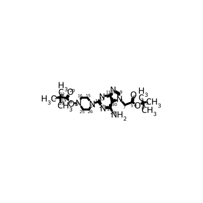 CC(C)(C)OC(=O)Cn1cnc2nc(N3CCN(OC(=O)C(C)(C)C)CC3)nc(N)c21